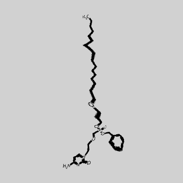 CCCCCCCCCCCCCCCCOCCCOP(=O)(COCCn1ccc(N)nc1=O)OCc1ccccc1